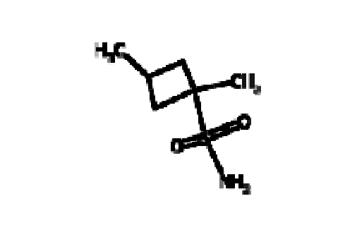 CC1CC(C)(S(N)(=O)=O)C1